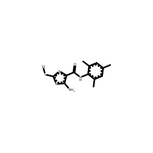 CCSc1nc(N)c(C(=O)Nc2c(C)cc(C)cc2C)s1